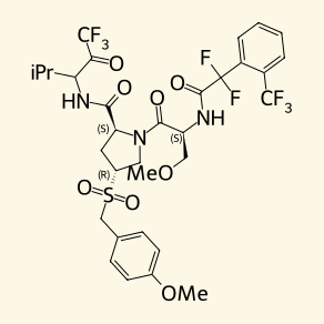 COC[C@H](NC(=O)C(F)(F)c1ccccc1C(F)(F)F)C(=O)N1C[C@H](S(=O)(=O)Cc2ccc(OC)cc2)C[C@H]1C(=O)NC(C(=O)C(F)(F)F)C(C)C